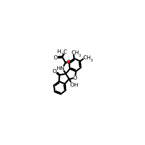 CC(=O)C(=O)NC12C(=O)c3ccccc3C1(O)Oc1cc(C)c(C)cc12